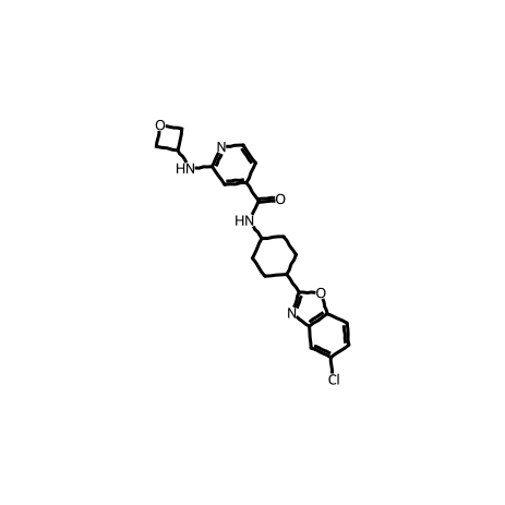 O=C(NC1CCC(c2nc3cc(Cl)ccc3o2)CC1)c1ccnc(NC2COC2)c1